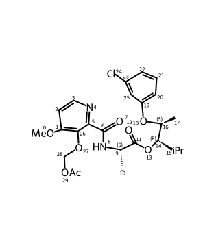 COc1ccnc(C(=O)N[C@@H](C)C(=O)O[C@H](C(C)C)[C@H](C)Oc2cccc(Cl)c2)c1OCOC(C)=O